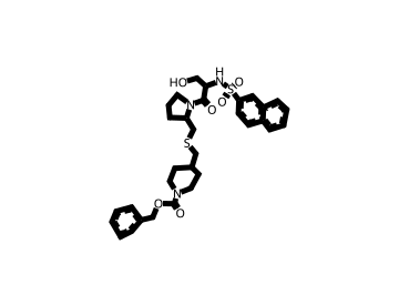 O=C(OCc1ccccc1)N1CCC(CSCC2CCCN2C(=O)C(CO)NS(=O)(=O)c2ccc3ccccc3c2)CC1